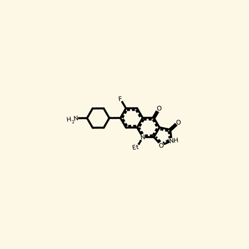 CCn1c2cc(C3CCC(N)CC3)c(F)cc2c(=O)c2c(=O)[nH]oc21